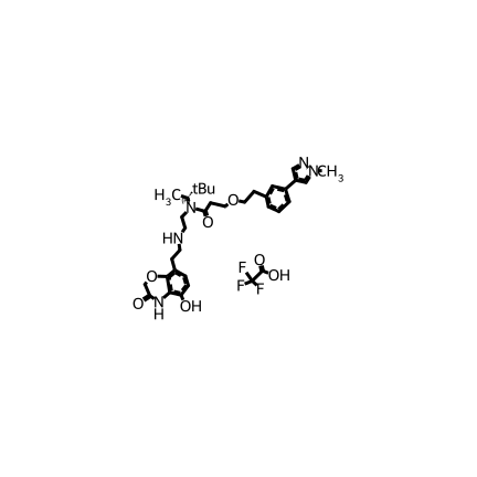 C[C@@H](N(CCNCCc1ccc(O)c2c1OCC(=O)N2)C(=O)CCOCCc1cccc(-c2cnn(C)c2)c1)C(C)(C)C.O=C(O)C(F)(F)F